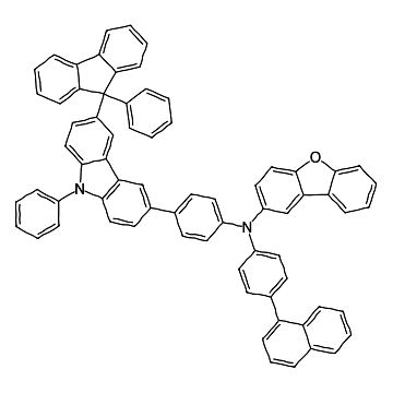 c1ccc(-n2c3ccc(-c4ccc(N(c5ccc(-c6cccc7ccccc67)cc5)c5ccc6oc7ccccc7c6c5)cc4)cc3c3cc(C4(c5ccccc5)c5ccccc5-c5ccccc54)ccc32)cc1